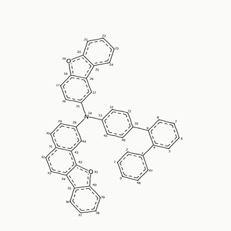 c1ccc(-c2ccccc2-c2ccc(N(c3ccc4oc5ccccc5c4c3)c3ccc4ccc5c6ccccc6oc5c4c3)cc2)cc1